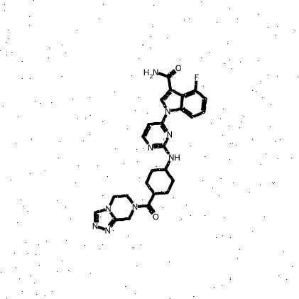 NC(=O)c1cn(-c2ccnc(NC3CCC(C(=O)N4CCn5cnnc5C4)CC3)n2)c2cccc(F)c12